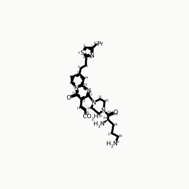 CC(C)c1csc(CCc2ccn3c(=O)c(/C=C/C(=O)O)c(N4CCN(C(=O)[C@H](N)CCCN)CC4)nc3c2)n1